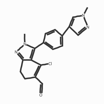 Cn1cc(-c2ccc(-c3c4c(nn3C)CCC(C=O)=C4Cl)cc2)cn1